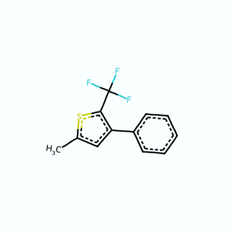 Cc1cc(-c2ccccc2)c(C(F)(F)F)s1